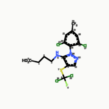 O=C(O)CCCNc1c(SC(F)(Cl)Cl)cnn1-c1c(Cl)cc(C(F)(F)F)cc1Cl